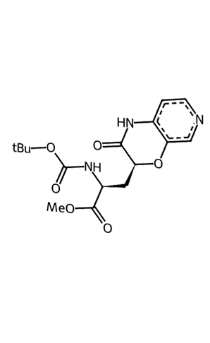 COC(=O)[C@H](C[C@@H]1Oc2cnccc2NC1=O)NC(=O)OC(C)(C)C